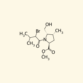 COC(=O)[C@@H]1C[C@@H](C)[C@@H](CO)N1C(=O)C(Br)C(C)C